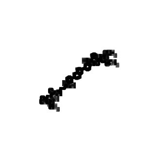 COCCC(NC(=O)OC)C(=O)N1CCC[C@H]1c1nc2ccc(-c3ccc4cc(-c5ccc6nc(CCCCNC(=O)[C@H](CCOC)NC(=O)OC)[nH]c6c5)ccc4c3)cc2[nH]1